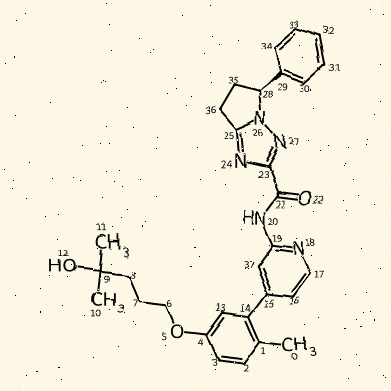 Cc1ccc(OCCCC(C)(C)O)cc1-c1ccnc(NC(=O)c2nc3n(n2)[C@H](c2ccccc2)CC3)c1